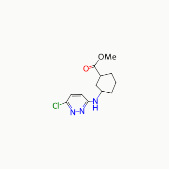 COC(=O)C1CCCC(Nc2ccc(Cl)nn2)C1